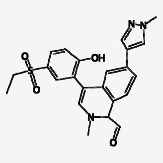 CCS(=O)(=O)c1ccc(O)c(C2=CN(C)C(C=O)c3ccc(-c4cnn(C)c4)cc32)c1